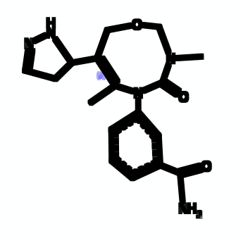 C/C1=C(\C2CC=NN2)COCN(C)C(=O)N1c1cccc(C(N)=O)c1